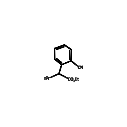 CCCC(C(=O)OCC)c1ccccc1C#N